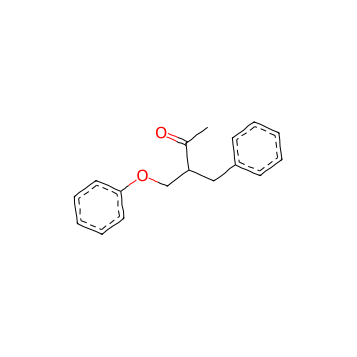 CC(=O)C(COc1ccccc1)Cc1ccccc1